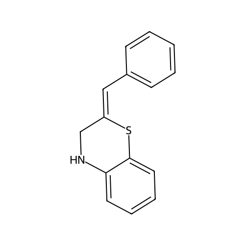 C(=C1CNc2ccccc2S1)c1ccccc1